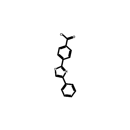 O=C(Cl)c1ccc(-c2nc(-c3ccccc3)co2)cc1